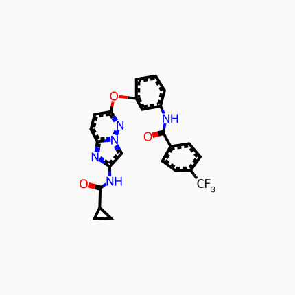 O=C(Nc1cccc(Oc2ccc3nc(NC(=O)C4CC4)cn3n2)c1)c1ccc(C(F)(F)F)cc1